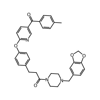 Cc1ccc(C(=O)c2ccc(Oc3ccc(CCC(=O)N4CCN(Cc5ccc6c(c5)OCO6)CC4)cc3)nc2)cc1